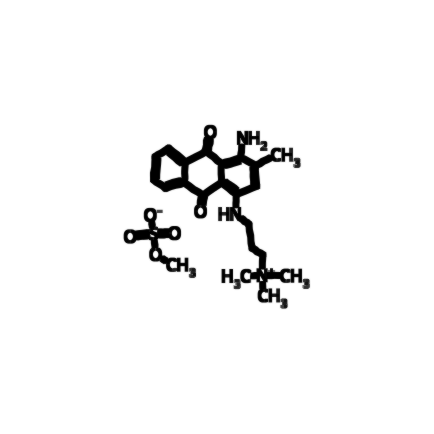 COS(=O)(=O)[O-].Cc1cc(NCCC[N+](C)(C)C)c2c(c1N)C(=O)c1ccccc1C2=O